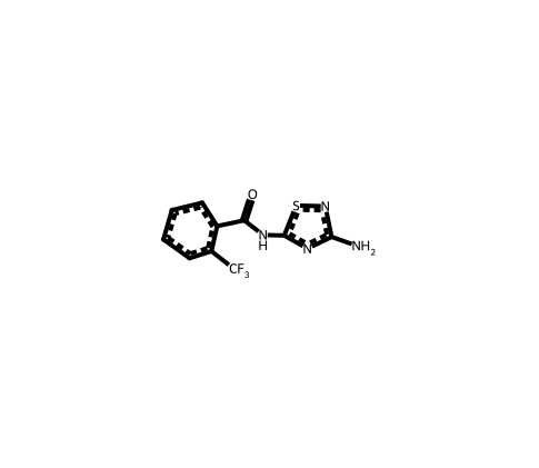 Nc1nsc(NC(=O)c2ccccc2C(F)(F)F)n1